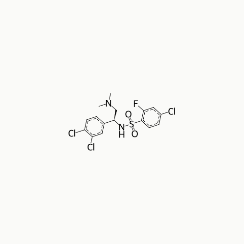 CN(C)C[C@@H](NS(=O)(=O)c1ccc(Cl)cc1F)c1ccc(Cl)c(Cl)c1